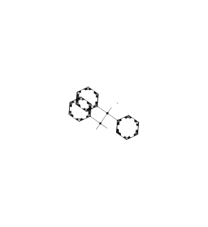 CC(O)(c1ccccc1)C(O)(c1ccccc1)c1ccccc1